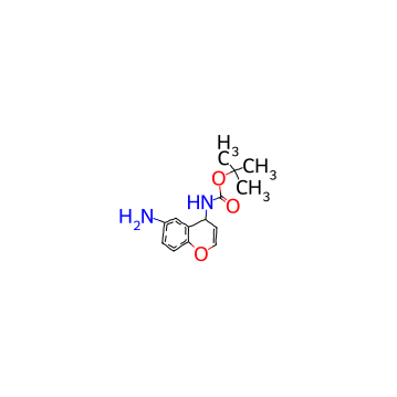 CC(C)(C)OC(=O)NC1C=COc2ccc(N)cc21